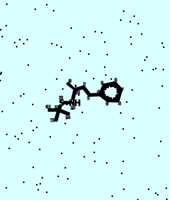 C[C@@H](CCc1ccccc1)NSC(C)(C)C